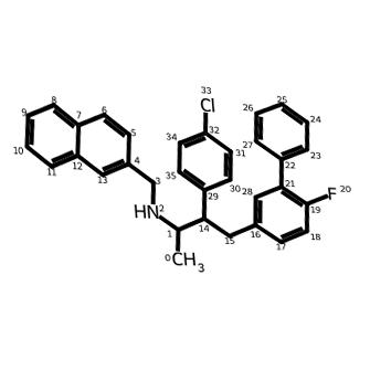 CC(NCc1ccc2ccccc2c1)C(Cc1ccc(F)c(-c2ccccc2)c1)c1ccc(Cl)cc1